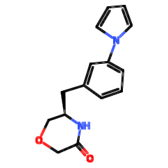 O=C1COC[C@@H](Cc2cccc(-n3cccc3)c2)N1